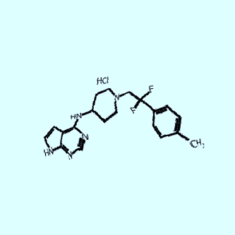 Cc1ccc(C(F)(F)CN2CCC(Nc3ncnc4[nH]ccc34)CC2)cc1.Cl